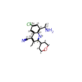 Cc1c(C2CCOCC2)nc2c(C(C)N)cc(Cl)cc2c1C#N